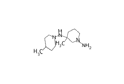 CC1CCN(NC2(C)CCCN(N)C2)CC1